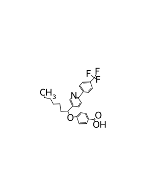 CCCCCCC(Oc1ccc(C(=O)O)cc1)c1ccc(-c2ccc(C(F)(F)F)cc2)nc1